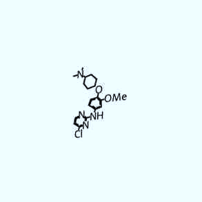 COc1cc(Nc2nccc(Cl)n2)ccc1OC1CCC(N(C)C)CC1